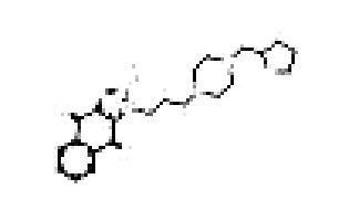 O=C1c2ccccc2C(=O)c2c1n[n+]([O-])n2CCCN1CCN(CC2CCCO2)CC1